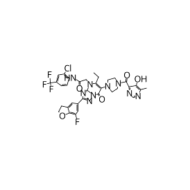 CCc1c(N2CCN(C(=O)c3ncnc(C)c3O)CC2)c(=O)n2nc(-c3cc(F)c4c(c3)CCO4)nc2n1CC(=O)Nc1ccc(C(F)(F)F)cc1Cl